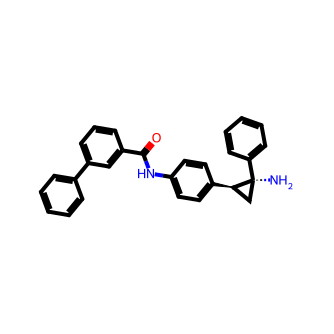 N[C@]1(c2ccccc2)C[C@H]1c1ccc(NC(=O)c2cccc(-c3ccccc3)c2)cc1